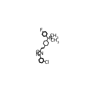 CN(C)C(c1ccc(F)cc1)C1CCC(C=Cc2nc(-c3cccc(Cl)c3)no2)CC1